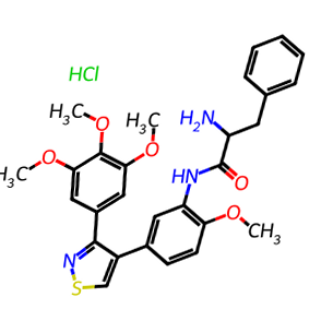 COc1ccc(-c2csnc2-c2cc(OC)c(OC)c(OC)c2)cc1NC(=O)C(N)Cc1ccccc1.Cl